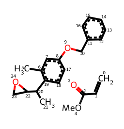 C=CC(=O)OC.Cc1cc(OCc2ccccc2)ccc1C(C)C1CO1